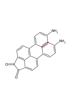 Nc1ccc(-c2ccc3c4c(ccc(-c5ccc(N)cc5)c24)C(=O)C3=O)cc1